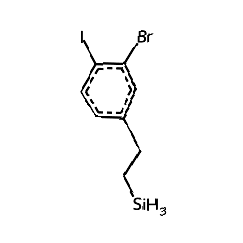 [SiH3]CCc1ccc(I)c(Br)c1